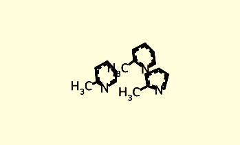 Cc1ccccn1.Cc1ccccn1.Cc1ccccn1